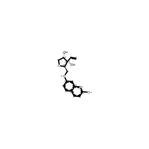 C=C[C@]1(O)[C@@H](O)CO[C@@H]1COc1ccc2ccc(Cl)nc2c1